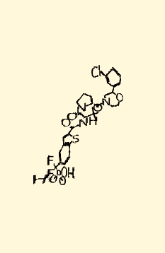 CC(C)(C)C(NC(=O)c1cc2cc(C(F)(F)P(=O)(O)O)ccc2s1)C(=O)N1CCC[C@H]1C(=O)N1CCOC(c2cccc(Cl)c2)C1